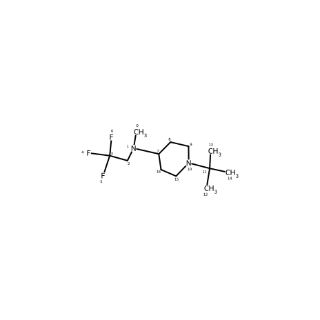 CN(CC(F)(F)F)C1CCN(C(C)(C)C)CC1